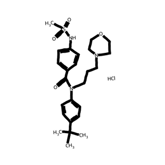 CC(C)(C)c1ccc(N(CCCN2CCOCC2)C(=O)c2ccc(NS(C)(=O)=O)cc2)cc1.Cl